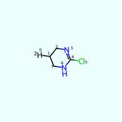 [2H]C1CN=C(Cl)NC1